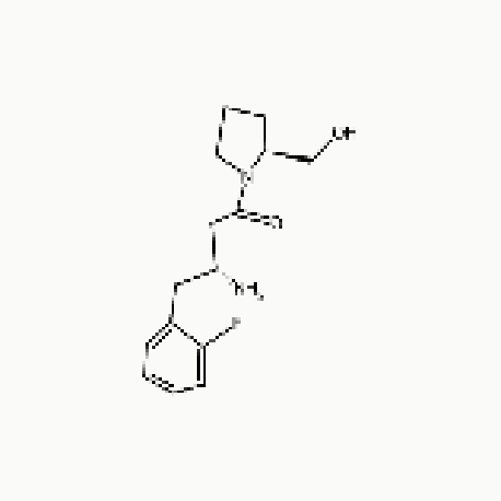 N[C@@H](CC(=O)N1CCC[C@H]1CO)Cc1ccccc1F